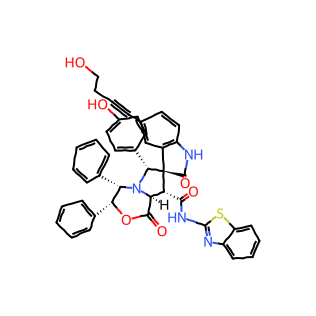 O=C1O[C@H](c2ccccc2)[C@H](c2ccccc2)N2[C@H]1[C@@H](C(=O)Nc1nc3ccccc3s1)[C@]1(C(=O)Nc3ccc(C#CCCO)cc31)[C@H]2c1ccc(O)cc1